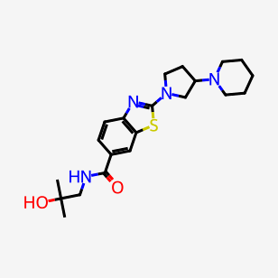 CC(C)(O)CNC(=O)c1ccc2nc(N3CCC(N4CCCCC4)C3)sc2c1